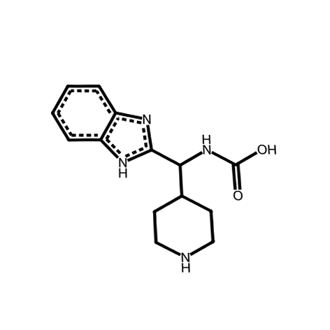 O=C(O)NC(c1nc2ccccc2[nH]1)C1CCNCC1